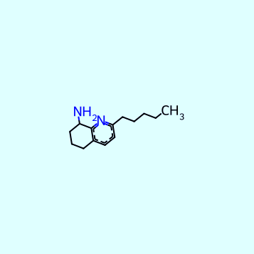 CCCCCc1ccc2c(n1)C(N)CCC2